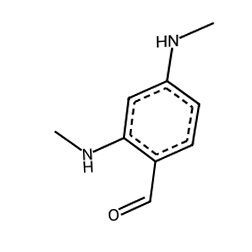 CNc1ccc(C=O)c(NC)c1